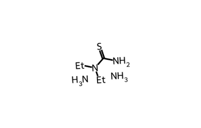 CCN(CC)C(N)=S.N.N